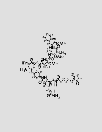 CC[C@H](C)[C@@H]([C@@H](CC(=O)N1CCC[C@H]1[C@H](OC)[C@@H](C)C(=O)N[C@@H](CC1=CCCCC1)C(=O)OC)OC)N(C)C(=O)CNC(=O)[C@H](C(C)C)N(C)CCc1ccc(NC(=O)[C@H](CCCNC(N)=O)NC(=O)CNC(=O)CCCCCN2C(=O)C=CC2=O)cc1